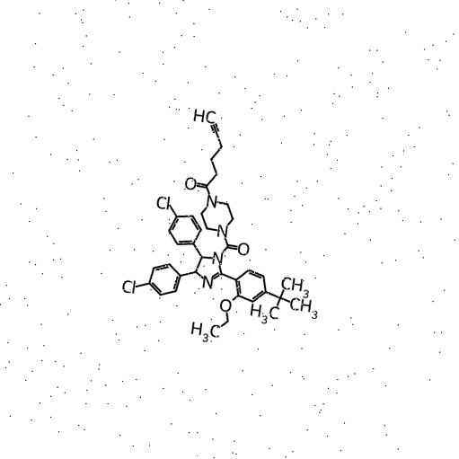 C#CCCCC(=O)N1CCN(C(=O)N2C(c3ccc(C(C)(C)C)cc3OCC)=NC(c3ccc(Cl)cc3)C2c2ccc(Cl)cc2)CC1